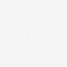 O=C(O)C1CCS(=O)(=O)C12CCN(S(=O)(=O)c1ccccc1)C2